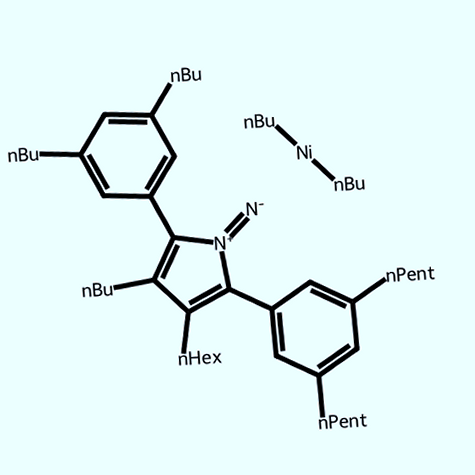 CCCCCCC1=C(c2cc(CCCCC)cc(CCCCC)c2)[N+](=[N-])C(c2cc(CCCC)cc(CCCC)c2)=C1CCCC.CCC[CH2][Ni][CH2]CCC